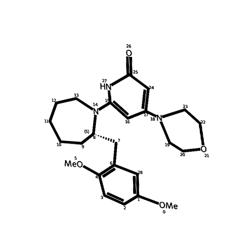 COc1ccc(OC)c(C[C@@H]2CCCCCN2c2cc(N3CCOCC3)cc(=O)[nH]2)c1